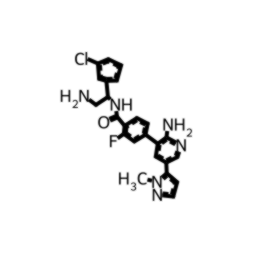 Cn1nccc1-c1cnc(N)c(-c2ccc(C(=O)NC(CN)c3cccc(Cl)c3)c(F)c2)c1